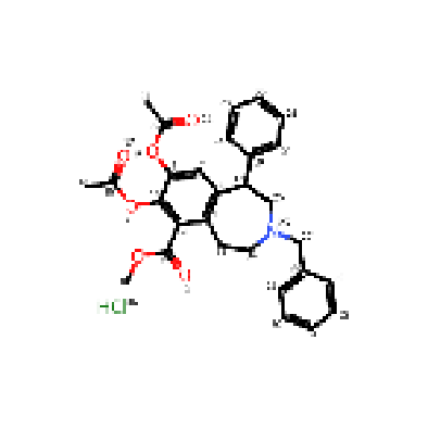 COC(=O)c1c2c(cc(OC(C)=O)c1OC(C)=O)C(c1ccccc1)CN(Cc1ccccc1)CC2.Cl